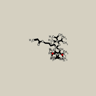 C=CC(=O)OCCCC[Si](O[Si](C(C)C)(C(C)C)C(C)C)(O[Si](C(C)C)(C(C)C)C(C)C)O[Si](C(C)C)(C(C)C)C(C)C